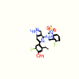 CCc1cc(O)c(F)cc1-c1cc2[nH]ncc2c(NCc2c(F)cccc2N(C)S(C)(=O)=O)n1